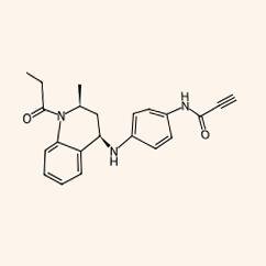 C#CC(=O)Nc1ccc(N[C@@H]2C[C@H](C)N(C(=O)CC)c3ccccc32)cc1